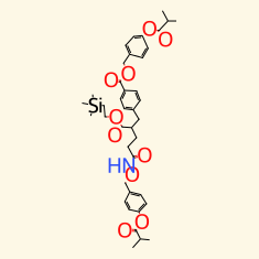 CC(C)C(=O)Oc1ccc(CONC(=O)CCC(Cc2ccc(C(=O)OCc3ccc(OC(=O)C(C)C)cc3)cc2)C(=O)OCC[Si](C)(C)C)cc1